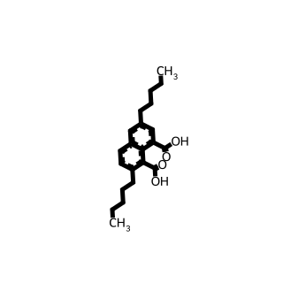 CCCCCc1cc(C(=O)O)c2c(C(=O)O)c(CCCCC)ccc2c1